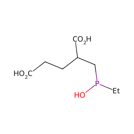 CCP(O)CC(CCC(=O)O)C(=O)O